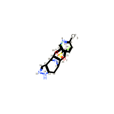 O=S(=O)(c1ccc(C(F)(F)F)nc1)N1C2Cc3[nH]ncc3C1c1cc(F)c(F)cc12